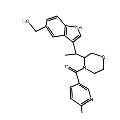 Cc1ccc(C(=O)N2CCOCC2C(C)c2c[nH]c3ccc(CO)cc23)cn1